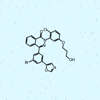 O=c1c2ccccc2c(-c2cc(Br)cc(-c3cnco3)c2)nn1-c1cc(OCCCO)ccc1Cl